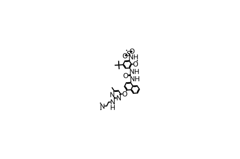 COc1c(NC(=O)Nc2ccc(Oc3cc(C)nc(NCCN(C)C)n3)c3ccccc23)cc(C(C)(C)C)cc1NS(C)(=O)=O